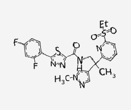 CCS(=O)(=O)c1cccc(C(C)(CNC(=O)c2nnc(-c3ccc(F)cc3F)s2)c2cnn(C)c2)n1